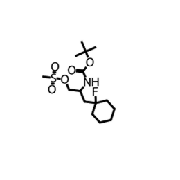 CC(C)(C)OC(=O)NC(COS(C)(=O)=O)CC1(F)CCCCC1